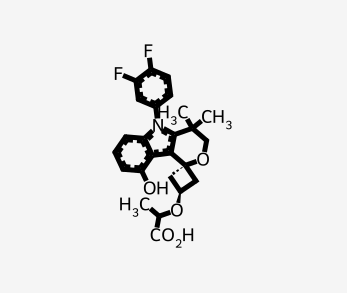 CC(O[C@H]1C[C@@]2(C1)OCC(C)(C)c1c2c2c(O)cccc2n1-c1ccc(F)c(F)c1)C(=O)O